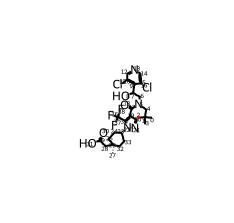 CC(C)(C)CN(CC(O)c1c(Cl)cncc1Cl)C(=O)c1cnn([C@H]2CC[C@](C)(CC(=O)O)CC2)c1C(F)(F)F